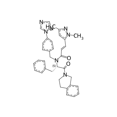 Cc1cc(C=CC(=O)N(Cc2ccc(-n3cncn3)cc2)[C@@H](Cc2ccccc2)C(=O)N2CCc3ccccc3C2)n(C)n1